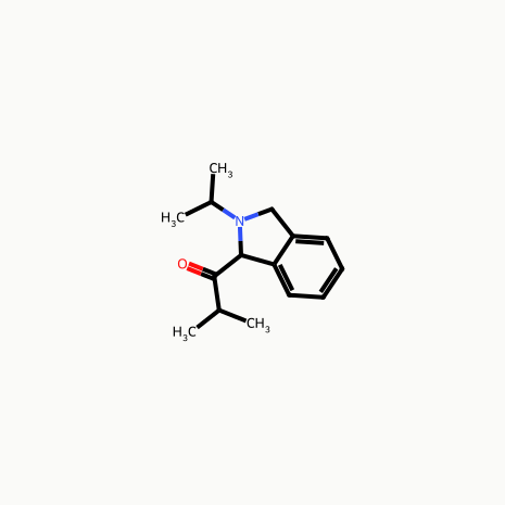 CC(C)C(=O)C1c2ccccc2CN1C(C)C